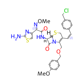 CO/N=C(\C(=O)N[C@@H]1C(=O)N2C(COCc3ccc(OC)cc3)=C(/C=C\c3ccc(CCl)cc3)CS[C@H]12)c1csc(N)n1